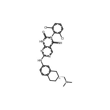 CN(C)C[C@@H]1CCc2ccc(Nc3ncc4c(=N)n(-c5c(Cl)cccc5Cl)c(=O)[nH]c4n3)cc2C1